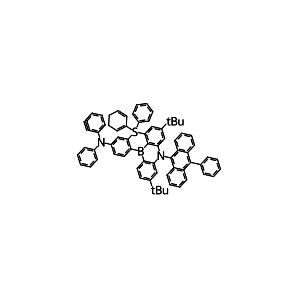 CC(C)(C)c1ccc2c(c1)N(c1c3ccccc3c(-c3ccccc3)c3ccccc13)c1cc(C(C)(C)C)cc3c1B2c1ccc(N(c2c#cccc2)c2ccccc2)cc1S3(C1=CCCC=C1)c1ccccc1